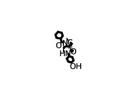 O=C(NC1CCC(O)CC1)[C@@H]1CCCN(C(=O)C2CCCCC2)C1I